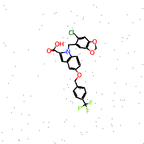 O=C(O)c1cc2cc(OCc3ccc(C(F)(F)F)cc3)ccc2n1Cc1cc2c(cc1Cl)OCO2